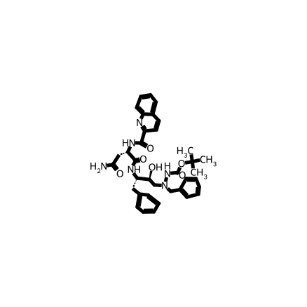 CC(C)(C)OC(=O)NN(Cc1ccccc1)C[C@H](O)[C@H](Cc1ccccc1)NC(=O)[C@H](CC(N)=O)NC(=O)c1ccc2ccccc2n1